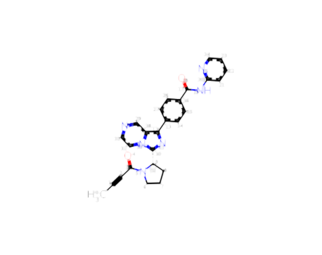 CC#CC(=O)N1CCC[C@H]1c1nc(-c2ccc(C(=O)Nc3ccccn3)cc2)c2cnccn12